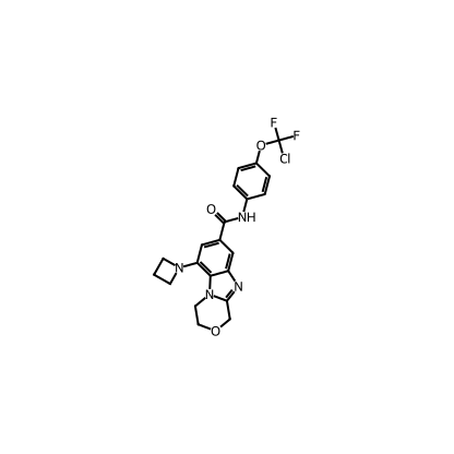 O=C(Nc1ccc(OC(F)(F)Cl)cc1)c1cc(N2CCC2)c2c(c1)nc1n2CCOC1